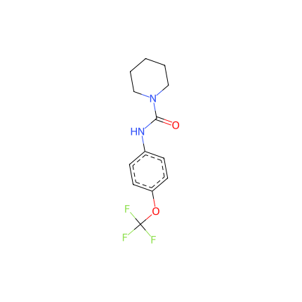 O=C(Nc1ccc(OC(F)(F)F)cc1)N1CCCCC1